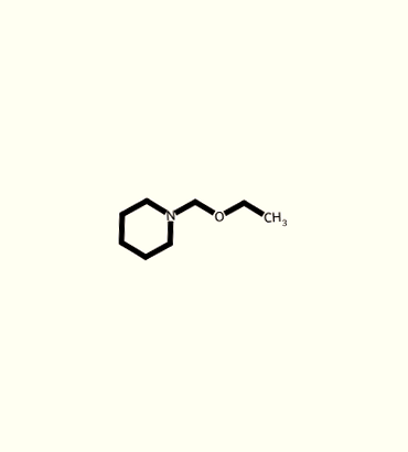 CCOCN1CCCCC1